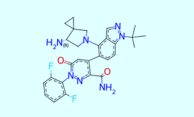 CC(C)(C)n1ncc2c(N3C[C@H](N)C4(CC4)C3)c(-c3cc(=O)n(-c4c(F)cccc4F)nc3C(N)=O)ccc21